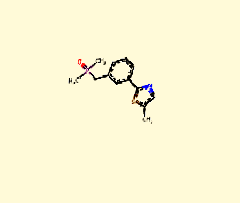 Cc1cnc(-c2cccc(CP(C)(C)=O)c2)s1